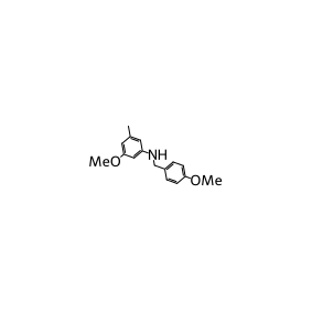 COc1ccc(CNc2cc(C)cc(OC)c2)cc1